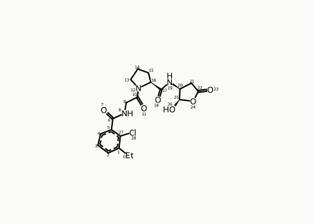 CCc1cccc(C(=O)NCC(=O)N2CCC[C@H]2C(=O)N[C@H]2CC(=O)O[C@H]2O)c1Cl